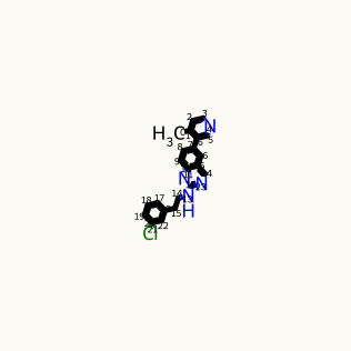 Cc1ccncc1-c1ccc2nc(NCCc3cccc(Cl)c3)ncc2c1